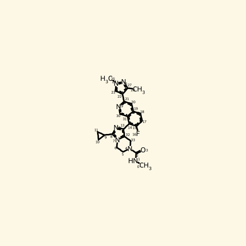 CNC(=O)N1CCn2c(C3CC3)nc(-c3c(F)ccc4cc(-c5cn(C)nc5C)ncc34)c2C1